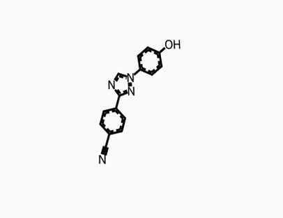 N#Cc1ccc(-c2ncn(-c3ccc(O)cc3)n2)cc1